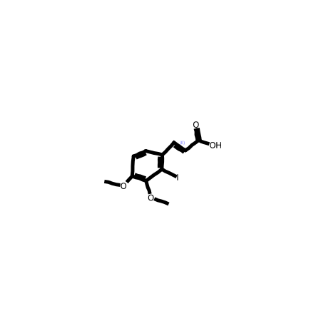 COc1ccc(/C=C/C(=O)O)c(I)c1OC